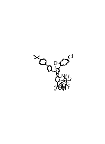 CC(C)(C)c1ccc(-c2ccc(Cc3nc(-c4ccc(Cl)cc4Cl)cn3-c3ccc(C(=O)O)c(S(=O)(=O)C(F)(F)F)c3N)cc2)cc1